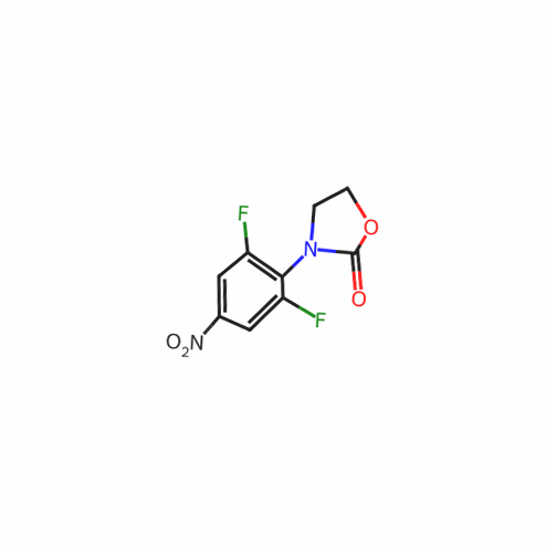 O=C1OCCN1c1c(F)cc([N+](=O)[O-])cc1F